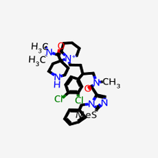 CSc1ncc(C(=O)N(C)CC(CC[N+]2(C3(C(=O)N(C)C)CCNCC3)CCCCC2)c2ccc(Cl)c(Cl)c2)n1Cc1ccccc1